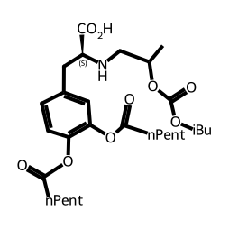 CCCCCC(=O)Oc1ccc(C[C@H](NCC(C)OC(=O)OC(C)CC)C(=O)O)cc1OC(=O)CCCCC